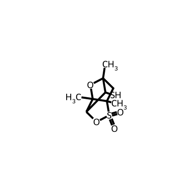 CC12CC3(C)C(C)(O1)C(OS3(=O)=O)C2S